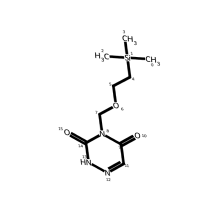 C[Si](C)(C)CCOCn1c(=O)cn[nH]c1=O